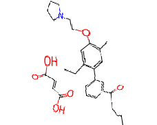 CCCC(=O)c1cccc(-c2cc(C)c(OCCN3CCCC3)cc2CC)c1.O=C(O)/C=C/C(=O)O